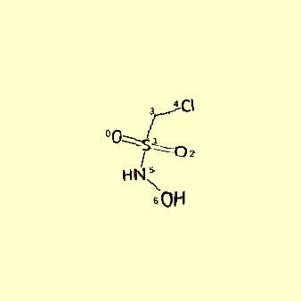 O=S(=O)(CCl)NO